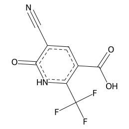 N#Cc1cc(C(=O)O)c(C(F)(F)F)[nH]c1=O